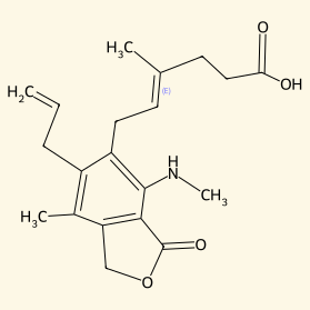 C=CCc1c(C)c2c(c(NC)c1C/C=C(\C)CCC(=O)O)C(=O)OC2